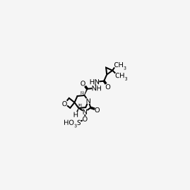 CC1(C)CC1C(=O)NNC(=O)[C@@H]1CC2(COC2)[C@@H]2CN1C(=O)N2OS(=O)(=O)O